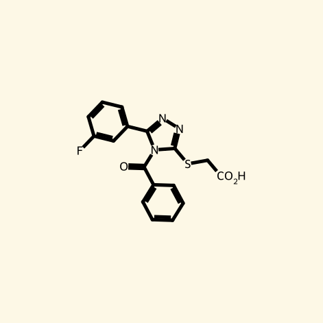 O=C(O)CSc1nnc(-c2cccc(F)c2)n1C(=O)c1ccccc1